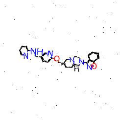 c1ccc(NCc2ccc(OC[C@@H]3CC[C@H]4CN(c5noc6ccccc56)CCN4C3)nc2)nc1